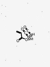 C=CC(=O)OC.N=C=O.N=C=O